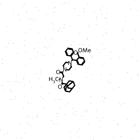 COC(=O)c1ccccc1C(c1ccccc1)N1CCN(C(=O)CN(C)C(=O)C23CC4CC(CC(C4)C2)C3)CC1